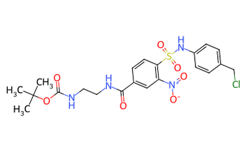 CC(C)(C)OC(=O)NCCNC(=O)c1ccc(S(=O)(=O)Nc2ccc(CCl)cc2)c([N+](=O)[O-])c1